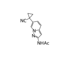 CC(=O)Nc1cc2ccc(C3(C#N)CC3)cn2n1